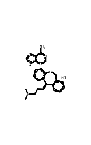 CN(C)CCC=C1c2ccccc2COc2ccccc21.Cl.Nc1ncnc2[nH]cnc12